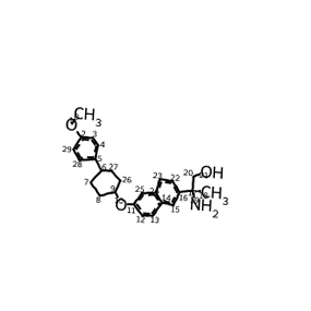 COc1ccc(C2CCC(Oc3ccc4cc([C@@](C)(N)CO)ccc4c3)CC2)cc1